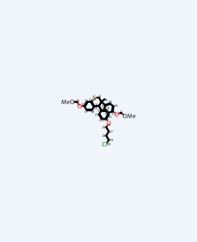 COCOc1ccc(C2(C)CSc3cc(OCOC)ccc3C2c2ccc(OCCCCCl)cc2)cc1